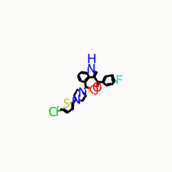 O=C(c1ccc(F)cc1)c1c[nH]c2cccc(C(=O)N3CCN(c4ccc(Cl)s4)CC3)c12